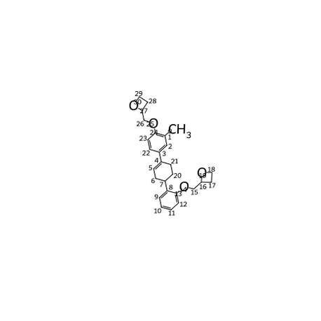 Cc1cc(C2=CCC(c3ccccc3OCC3CCO3)CC2)ccc1OCC1CCO1